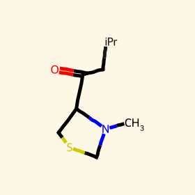 CC(C)CC(=O)C1CSCN1C